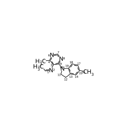 C/C=N\c1c(C)ncnc1N1CCc2cc(C)ccc21